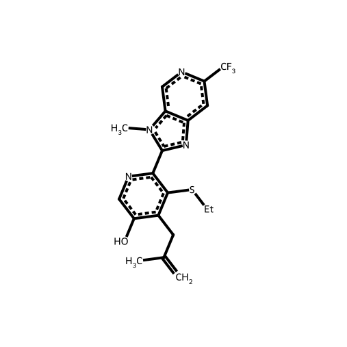 C=C(C)Cc1c(O)cnc(-c2nc3cc(C(F)(F)F)ncc3n2C)c1SCC